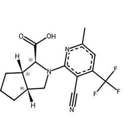 Cc1cc(C(F)(F)F)c(C#N)c(N2C[C@@H]3CCC[C@@H]3[C@H]2C(=O)O)n1